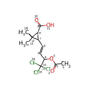 CC(=O)OC(C=CC1C(C(=O)O)C1(C)C)C(Cl)(Cl)Cl